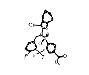 COC(=O)c1ccc(S(=O)(=O)N(Cc2ccc(F)c(C(F)(F)F)c2)c2sc3ccccc3c2Cl)cc1